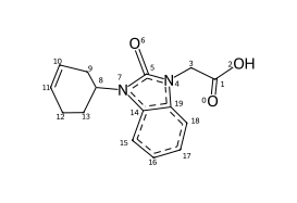 O=C(O)Cn1c(=O)n(C2CC=CCC2)c2ccccc21